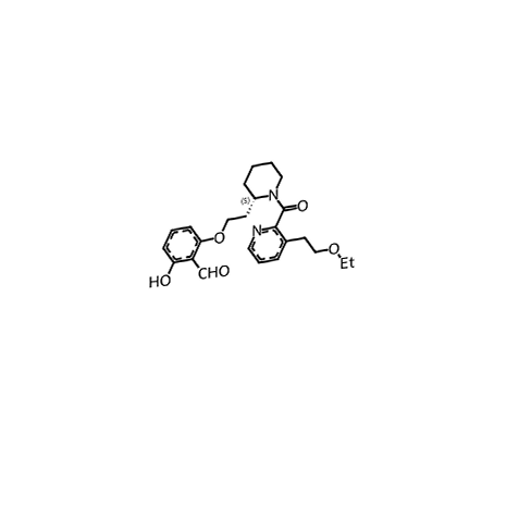 CCOCCc1cccnc1C(=O)N1CCCC[C@H]1CCOc1cccc(O)c1C=O